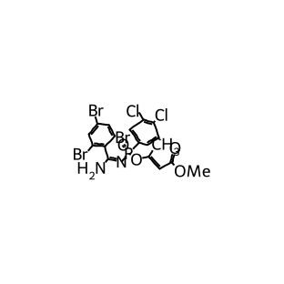 COC(=O)/C=C(\C)OP(=O)(/N=C(/N)c1c(Br)cc(Br)cc1Br)c1ccc(Cl)c(Cl)c1